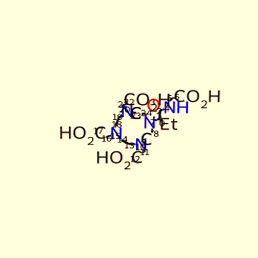 CCC(C(=O)NCC(=O)O)N1CCN(CC(=O)O)CCN(CC(=O)O)CCN(CC(=O)O)CC1